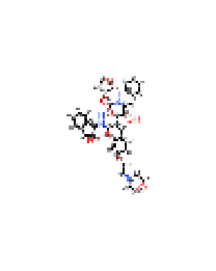 O=C(NC(CC1CCCCC1)C(O)CC(Cc1ccc(OCCN2CCOCC2)cc1)C(=O)N[C@H]1c2ccccc2C[C@@H]1O)OC1CCOC1